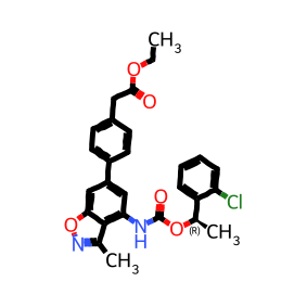 CCOC(=O)Cc1ccc(-c2cc(NC(=O)O[C@H](C)c3ccccc3Cl)c3c(C)noc3c2)cc1